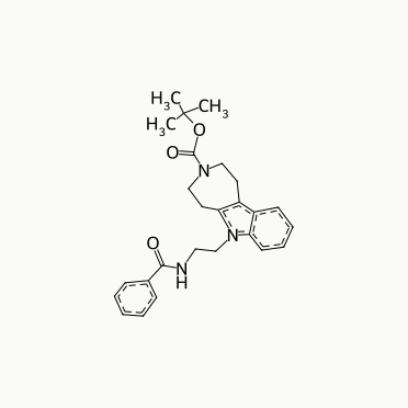 CC(C)(C)OC(=O)N1CCc2c(n(CCNC(=O)c3ccccc3)c3ccccc23)CC1